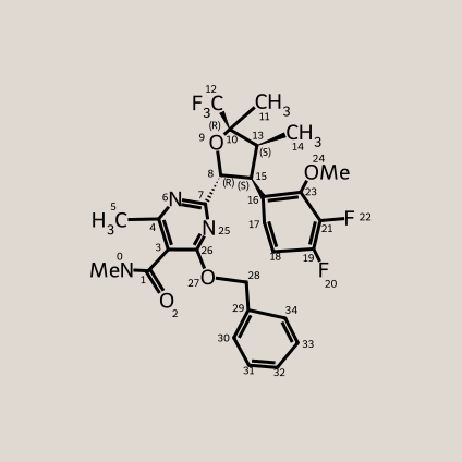 CNC(=O)c1c(C)nc([C@@H]2O[C@@](C)(C(F)(F)F)[C@@H](C)[C@H]2c2ccc(F)c(F)c2OC)nc1OCc1ccccc1